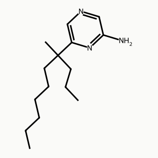 CCCCCCC(C)(CCC)c1cncc(N)n1